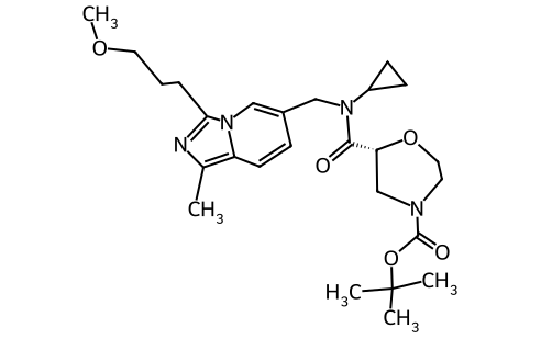 COCCCc1nc(C)c2ccc(CN(C(=O)[C@H]3CN(C(=O)OC(C)(C)C)CCO3)C3CC3)cn12